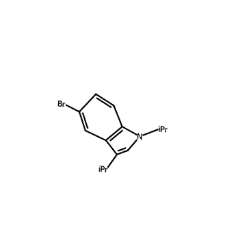 CC(C)c1cn(C(C)C)c2ccc(Br)cc12